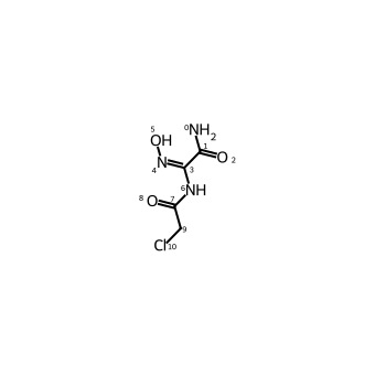 NC(=O)C(=NO)NC(=O)CCl